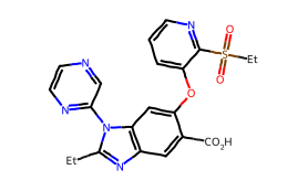 CCc1nc2cc(C(=O)O)c(Oc3cccnc3S(=O)(=O)CC)cc2n1-c1cnccn1